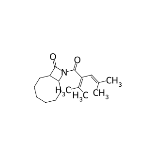 CC(C)=CC(C(=O)N1C(=O)C2CCCCCCC21)=C(C)C